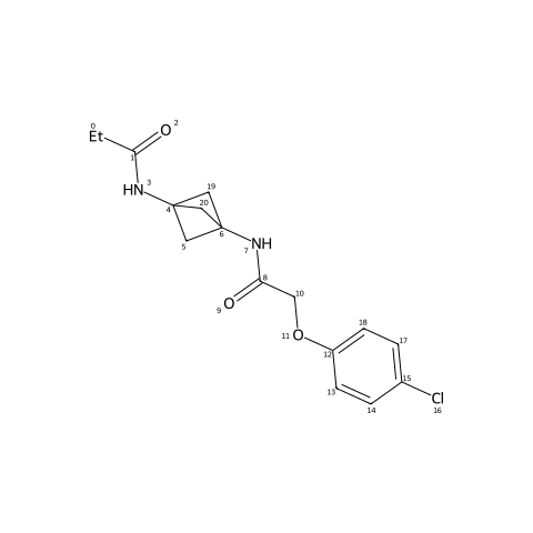 CCC(=O)NC12CC(NC(=O)COc3ccc(Cl)cc3)(C1)C2